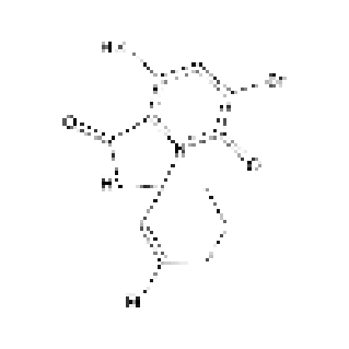 CCC1=CC2(CCC1)NC(=O)c1c(C)cc(Br)c(=O)n12